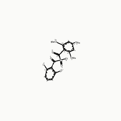 CCP(=O)(C(=O)c1c(Cl)cccc1Cl)C(=O)c1c(OC)cc(OC)cc1OC